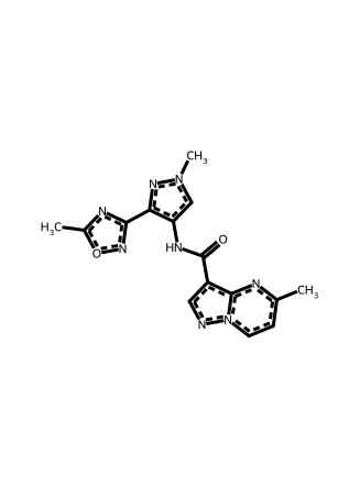 Cc1ccn2ncc(C(=O)Nc3cn(C)nc3-c3noc(C)n3)c2n1